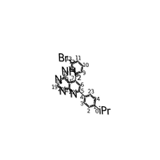 CC(C)c1ccc(-c2cc(-c3cccc(Br)c3)c3c(N)ncnc3n2)cc1